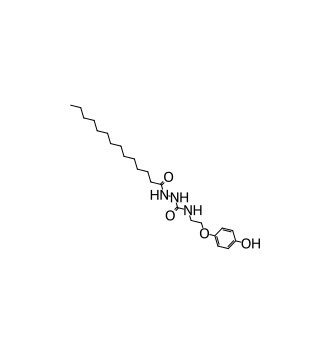 CCCCCCCCCCCCCC(=O)NNC(=O)NCCOc1ccc(O)cc1